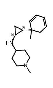 CN1CCC(N[C@H]2C[C@@H]2C2(C)C=CC=CC2)CC1